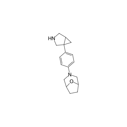 c1cc(C23CNCC2C3)ccc1N1CC2CCC(C1)O2